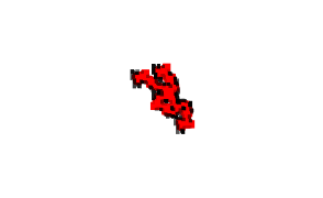 COC(=O)c1cc(OCc2cc(OCCN(C)c3ccc(/C=C/C4=CC(=C(C#N)C#N)CC(C)(C)C4)cc3)cc(OCCN(C)c3ccc(/C=C/C4=CC(=C(C#N)C#N)CC(C)(C)C4)cc3)c2)cc(OCc2cc(OCCN(C)c3ccc(/C=C/C4=CC(=C(C#N)C#N)CC(C)(C)C4)cc3)cc(OCCN(C)c3ccc(/C=C/C4=CC(=C(C#N)C#N)CC(C)(C)C4)cc3)c2)c1